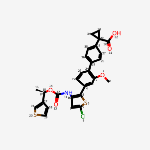 COc1cc(-c2sc(Cl)cc2NC(=O)O[C@H](C)c2ccsc2)ccc1-c1ccc(C2(C(=O)O)CC2)cc1